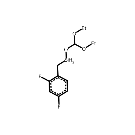 CCOC(OCC)O[SiH2]Cc1ccc(F)cc1F